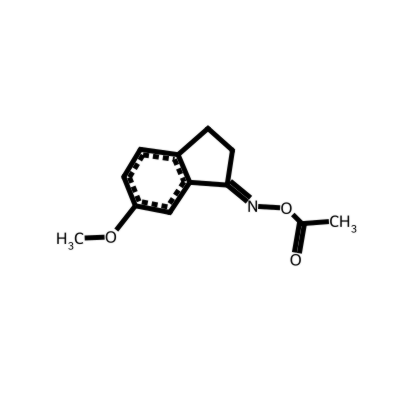 COc1ccc2c(c1)/C(=N/OC(C)=O)CC2